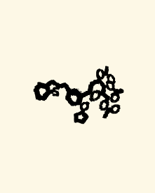 CC(=O)OCC1OC(c2cc(CC3Cc4ccccc4S3)ccc2OC2CCCC2)CC(OC(C)=O)[C@@H]1OC(C)=O